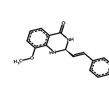 COc1cccc2c1N[C@H](/C=C/c1ccccc1)NC2=O